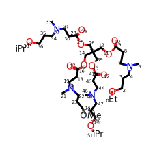 CCOCCCN(C)CCC(=O)OCC(COC(=O)CCN(C)CCCOC)(COC(=O)CCN(C)CCCOC(C)C)COC(=O)CCN(C)CCCOC(C)C